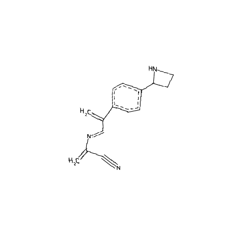 C=C(C#N)/N=C/C(=C)c1ccc(C2CCN2)cc1